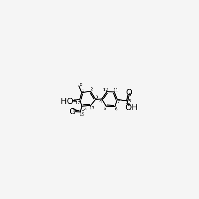 Cc1cc(-c2ccc(C(=O)O)cc2)cc(C=O)c1O